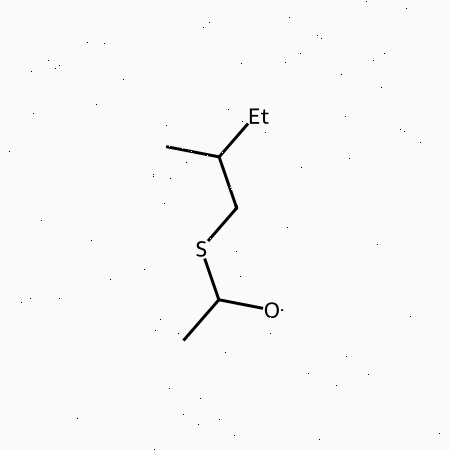 CCC(C)CSC(C)[O]